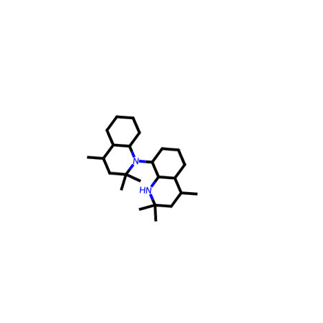 CC1CC(C)(C)NC2C1CCCC2N1C2CCCCC2C(C)CC1(C)C